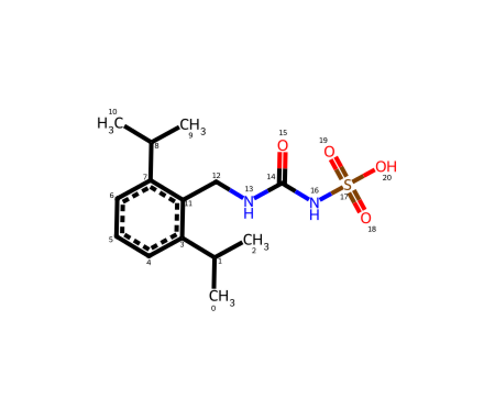 CC(C)c1cccc(C(C)C)c1CNC(=O)NS(=O)(=O)O